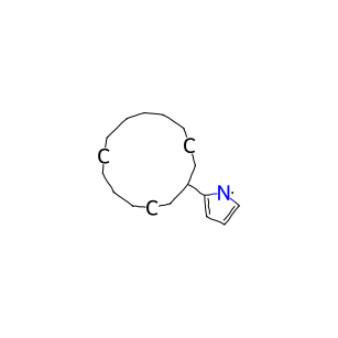 C1=C[N]C(C2CCCCCCCCCCCCC2)=C1